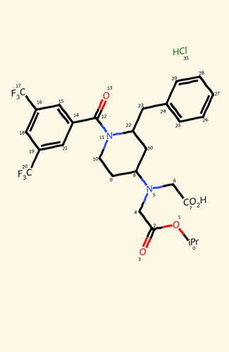 CC(C)OC(=O)CN(CC(=O)O)C1CCN(C(=O)c2cc(C(F)(F)F)cc(C(F)(F)F)c2)C(Cc2ccccc2)C1.Cl